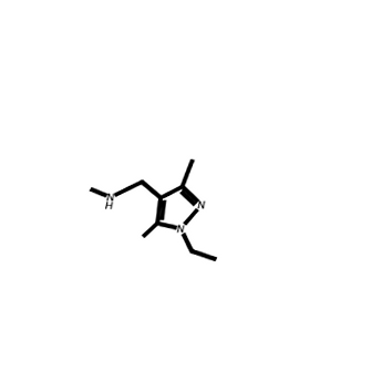 CCn1nc(C)c(CNC)c1C